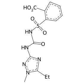 CCc1nc(NC(=O)NS(=O)(=O)c2ccccc2C(=O)O)nn1C